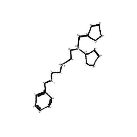 c1ccc(CSCCNCCN(CC2CCCC2)C2CCCC2)cc1